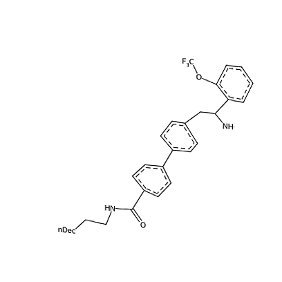 CCCCCCCCCCCCNC(=O)c1ccc(-c2ccc(CC([NH])c3ccccc3OC(F)(F)F)cc2)cc1